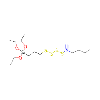 CCCCNSSSSCCC[Si](OCC)(OCC)OCC